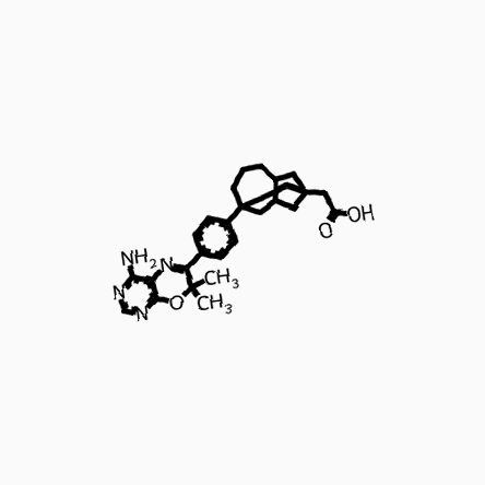 CC1(C)Oc2ncnc(N)c2N=C1c1ccc(C23CCCC4CC(CC(=O)O)(CC4C2)C3)cc1